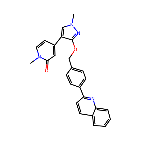 Cn1cc(-c2ccn(C)c(=O)c2)c(OCc2ccc(-c3ccc4ccccc4n3)cc2)n1